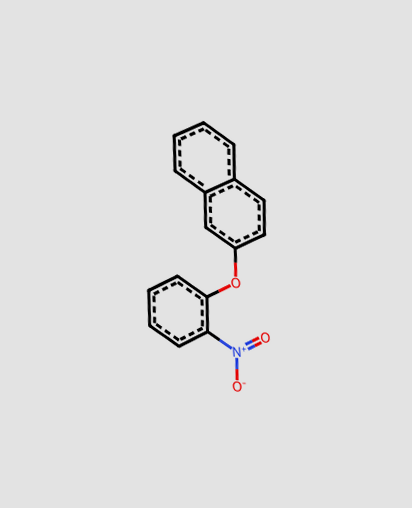 O=[N+]([O-])c1ccccc1Oc1ccc2ccccc2c1